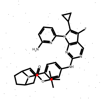 CC(C)(C)OC(=O)N1C2C=C(c3ccc(Nc4ncc5c(F)c(C6CC6)n(-c6cccc(N)n6)c5n4)cc3)CC1CC2